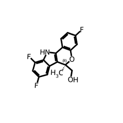 C[C@@]1(CO)Oc2cc(F)ccc2-c2[nH]c3c(F)cc(F)cc3c21